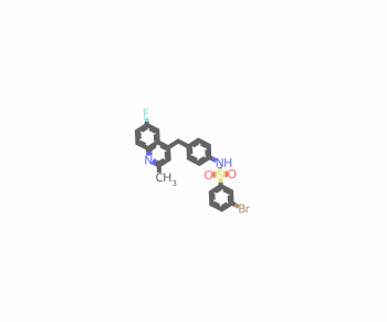 Cc1cc(Cc2ccc(NS(=O)(=O)c3cccc(Br)c3)cc2)c2cc(F)ccc2n1